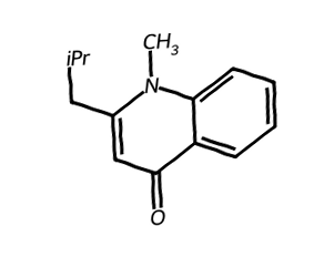 CC(C)Cc1cc(=O)c2ccccc2n1C